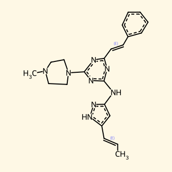 C/C=C/c1cc(Nc2nc(/C=C/c3ccccc3)nc(N3CCN(C)CC3)n2)n[nH]1